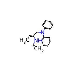 C=CN/C(=C\C)CN(c1ccccc1)c1ccccc1